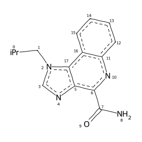 CC(C)Cn1cnc2c(C(N)=O)nc3ccccc3c21